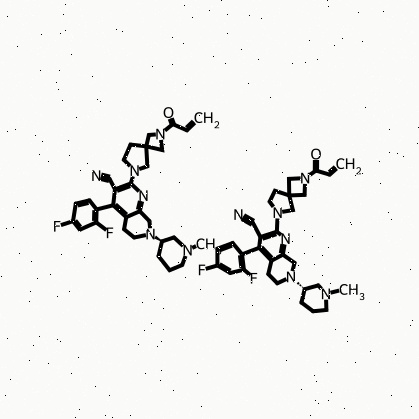 C=CC(=O)N1CC2(CCN(c3nc4c(c(-c5ccc(F)cc5F)c3C#N)CCN([C@@H]3CCCN(C)C3)C4)C2)C1.C=CC(=O)N1CC2(CCN(c3nc4c(c(-c5ccc(F)cc5F)c3C#N)CCN([C@H]3CCCN(C)C3)C4)C2)C1